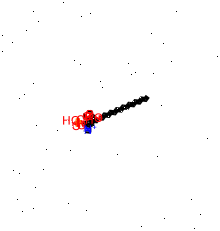 CCCCCCCCCCCCCCCCOCC(COC)(COC)CC(COP(=O)(O)O)[N+](C)(C)C